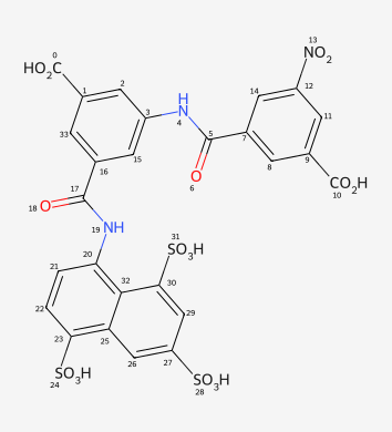 O=C(O)c1cc(NC(=O)c2cc(C(=O)O)cc([N+](=O)[O-])c2)cc(C(=O)Nc2ccc(S(=O)(=O)O)c3cc(S(=O)(=O)O)cc(S(=O)(=O)O)c23)c1